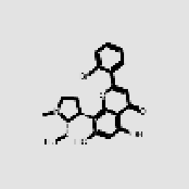 CN1CC[C@@H](c2c(O)cc(O)c3c(=O)cc(-c4ccccc4Br)oc23)[C@@H]1CO